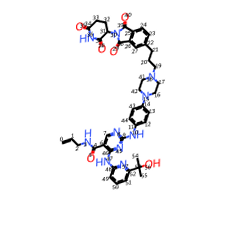 C=CCNC(=O)c1cnc(Nc2ccc(N3CCN(CCCc4ccc5c(c4)C(=O)N(C4CCC(=O)NC4=O)C5=O)CC3)cc2)nc1Nc1cccc(C(C)(C)O)n1